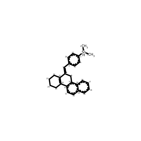 [CH3][SnH]([CH3])[c]1ccc(C=C2Cc3c(ccc4ccccc34)C3=C2CCCC3)cc1